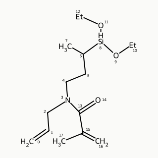 C=CCN(CCC(C)[SiH](OCC)OCC)C(=O)C(=C)C